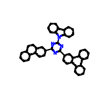 c1ccc2c(c1)ccc1cc(-c3nc(-c4ccc5c6ccccc6c6ccccc6c5c4)nc(-n4c5ccccc5c5ccccc54)n3)ccc12